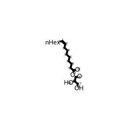 CCCCCC/C=C\CCCCCCCC(=O)OC([O])C(O)CO